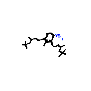 Cc1c(CCC(C)CC(C)(C)C)ccc(N)c1CCC(C)CC(C)(C)C